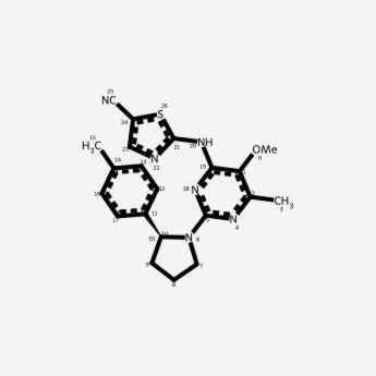 COc1c(C)nc(N2CCC[C@H]2c2ccc(C)cc2)nc1Nc1ncc(C#N)s1